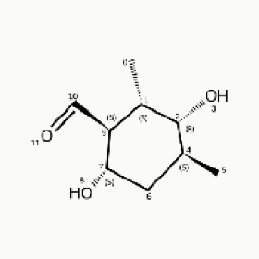 C[C@@H]1[C@H](O)[C@@H](C)C[C@H](O)[C@H]1C=O